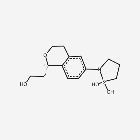 OCC[C@@H]1OCCc2cc(N3CCCS3(O)O)ccc21